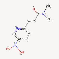 CN(C)C(=O)CCc1ccc(N(O)O)cn1